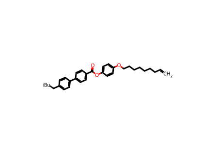 C=CCCCCCCCOc1ccc(OC(=O)c2ccc(-c3ccc(CC(C)CC)cc3)cc2)cc1